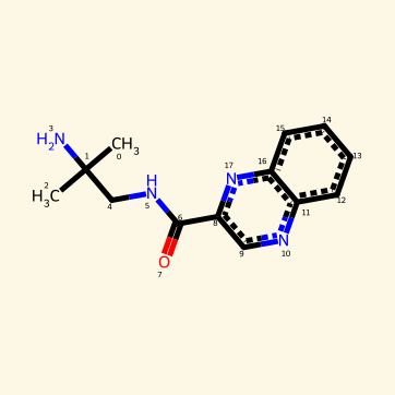 CC(C)(N)CNC(=O)c1cnc2ccccc2n1